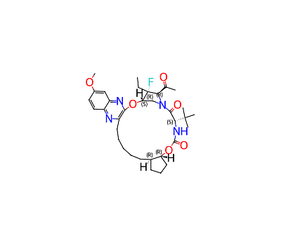 CC[C@]1(F)[C@@H]2CN(C(=O)[C@H](C(C)(C)C)NC(=O)O[C@@H]3CCC[C@H]3CCCCCc3nc4ccc(OC)cc4nc3O2)[C@@H]1C(C)=O